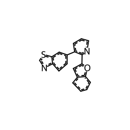 c1cnc(-c2cc3ccccc3o2)c(-c2ccc3ncsc3c2)c1